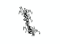 CCCCC(Oc1ccc(C#N)cc1)[Si](C)(C)c1ccc(C(=O)OC2CC[C@@]3(C)C(=CCC4C3CC[C@@]3(C)C4CC[C@@H]3[C@H](C)CCCC(C)C)C2)cc1